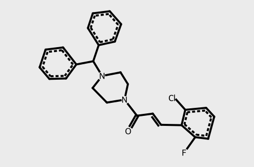 O=C(C=Cc1c(F)cccc1Cl)N1CCN(C(c2ccccc2)c2ccccc2)CC1